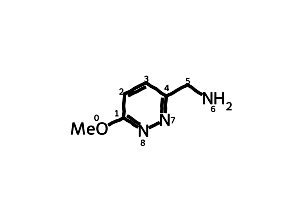 COc1ccc(CN)nn1